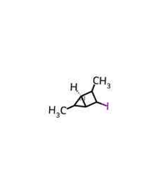 CC1C(I)C2C(C)[C@@H]12